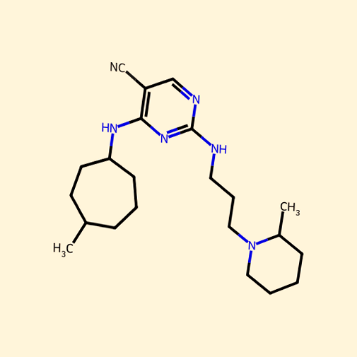 CC1CCCC(Nc2nc(NCCCN3CCCCC3C)ncc2C#N)CC1